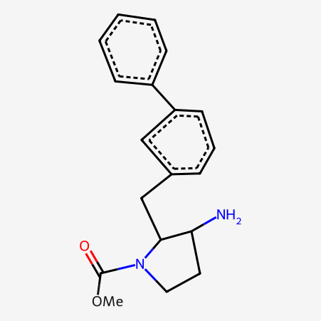 COC(=O)N1CCC(N)C1Cc1cccc(-c2ccccc2)c1